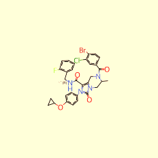 CC1Cn2c(c(C(=O)N[C@H](C)c3ccccc3F)n(-c3ccc(OC4CC4)cc3)c2=O)CN1C(=O)c1ccc(Br)c(Cl)c1